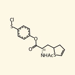 CC(=O)N[C@@H](CC1CC=CS1)C(=O)Oc1ccc(SCl)cc1